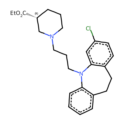 CCOC(=O)[C@@H]1CCCN(CCCN2c3ccccc3CCc3ccc(Cl)cc32)C1